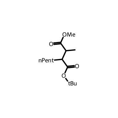 CCCCCC(C(=O)OC(C)(C)C)C(C)C(=O)OC